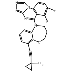 Fc1ccc2c(c(N3CCCOc4c(C#CC5(C(F)(F)F)CC5)cccc43)nc3nncn32)c1F